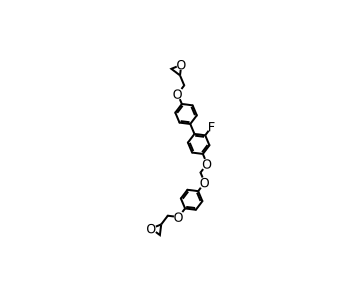 Fc1cc(OCOc2ccc(OCC3CO3)cc2)ccc1-c1ccc(OCC2CO2)cc1